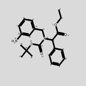 CCOC(=O)C(c1ccccc1)N(Cc1cccc(N)c1)C(=O)OC(C)(C)C